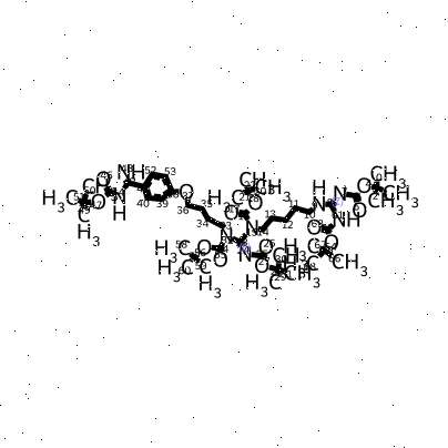 CC(C)(C)OC(=O)/N=C(/NCCCCCN(C(=O)OC(C)(C)C)/C(=N\C(=O)OC(C)(C)C)N(CCCCOc1ccc(C(=N)NC(=O)OC(C)(C)C)cc1)C(=O)OC(C)(C)C)NC(=O)OC(C)(C)C